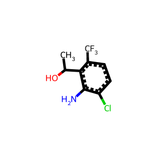 CC(O)c1c(C(F)(F)F)ccc(Cl)c1N